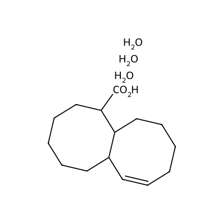 O.O.O.O=C(O)C1CCCCCC2C=CCCCCC21